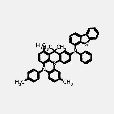 Cc1ccc(N2c3ccc(C)cc3B3c4ccc(N(c5ccccc5)c5cccc6c5sc5ccccc56)cc4C(C)(C)c4c(C)ccc2c43)cc1